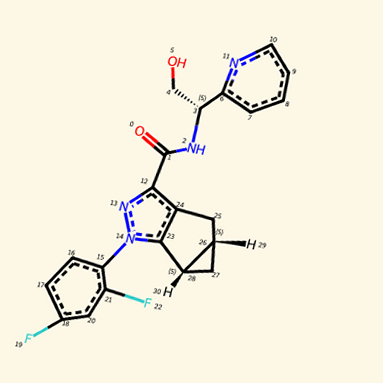 O=C(N[C@H](CO)c1ccccn1)c1nn(-c2ccc(F)cc2F)c2c1C[C@@H]1C[C@H]21